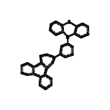 c1cc(-c2ccc3c4ccccc4c4ccccc4c3c2)cc(N2c3ccccc3Sc3ccccc32)c1